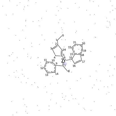 CCC1=CC[C](/[Zr](=[C](/C)c2ccccc2)[CH]2C=Cc3ccccc32)=C1